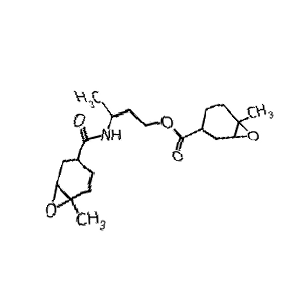 CC(CCOC(=O)C1CCC2(C)OC2C1)NC(=O)C1CCC2(C)OC2C1